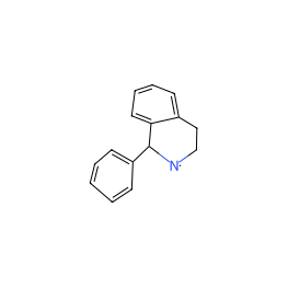 c1ccc(C2[N]CCc3ccccc32)cc1